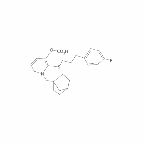 O=C(O)OC1=C(SCCCc2ccc(F)cc2)N(CC23CCC(CC2)C3)CC=C1